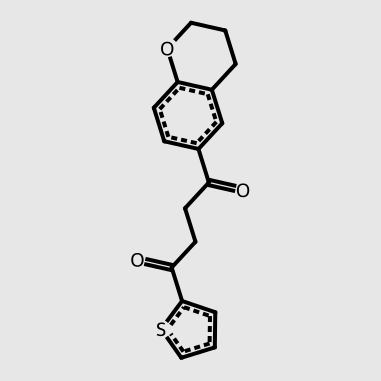 O=C(CCC(=O)c1cccs1)c1ccc2c(c1)CCCO2